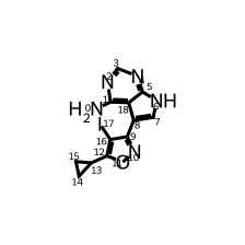 Nc1ncnc2[nH]cc(-c3noc(C4CC4)c3I)c12